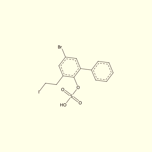 O=S(=O)(O)Oc1c(CCI)cc(Br)cc1-c1ccccc1